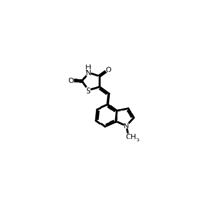 Cn1ccc2c(/C=C3\SC(=O)NC3=O)cccc21